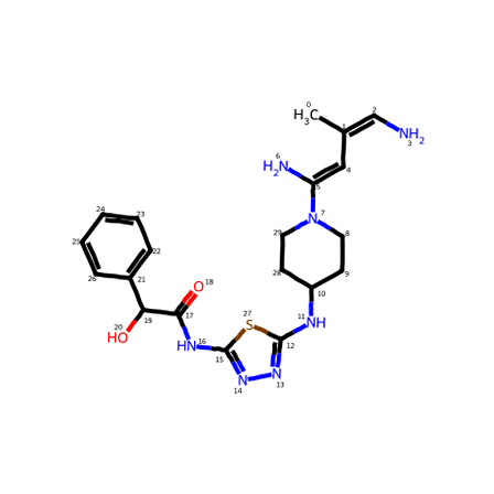 CC(=C/N)/C=C(\N)N1CCC(Nc2nnc(NC(=O)C(O)c3ccccc3)s2)CC1